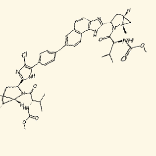 COC(=O)N[C@H](C(=O)N1[C@@H]2[C@H](C)[C@@H]2C[C@H]1c1nc(Cl)c(-c2ccc(-c3ccc4c(ccc5nc([C@@H]6C[C@@H]7C[C@]7(C)N6C(=O)[C@@H](NC(=O)OC)C(C)C)[nH]c54)c3)cc2)[nH]1)C(C)C